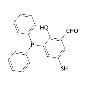 O=Cc1cc(S)cc(P(c2ccccc2)c2ccccc2)c1O